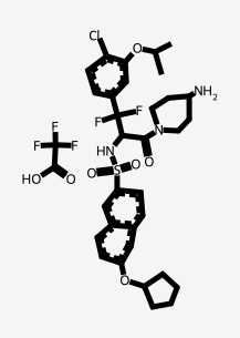 CC(C)Oc1cc(C(F)(F)C(NS(=O)(=O)c2ccc3cc(OC4CCCC4)ccc3c2)C(=O)N2CCC(N)CC2)ccc1Cl.O=C(O)C(F)(F)F